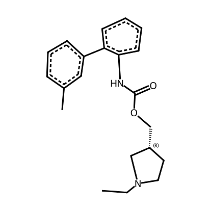 CCN1CC[C@@H](COC(=O)Nc2ccccc2-c2cccc(C)c2)C1